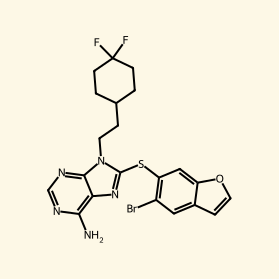 Nc1ncnc2c1nc(Sc1cc3occc3cc1Br)n2CCC1CCC(F)(F)CC1